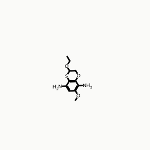 CCOC1COc2c(N)c(OC)cc(N)c2S1